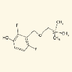 C[Si](C)(C)COCc1c(F)ccc(O)c1F